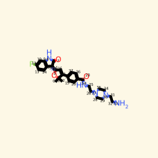 CC1(C)O/C(=C2/C(=O)Nc3cc(F)ccc32)C=C1c1ccc(C(=O)NCCN2CCN(CCN)CC2)cc1